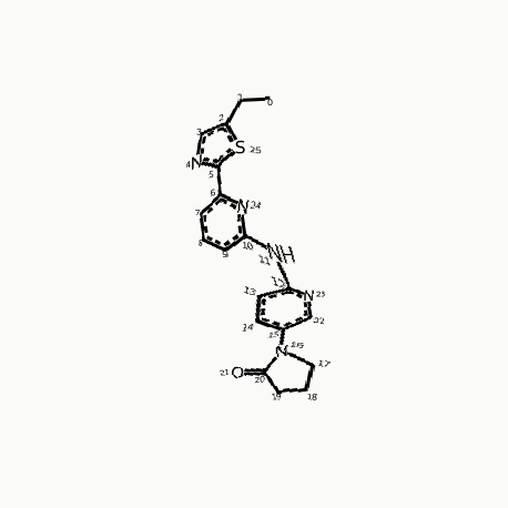 CCc1cnc(-c2cccc(Nc3ccc(N4CCCC4=O)cn3)n2)s1